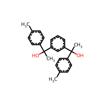 Cc1ccc(C(C)(O)c2cccc(C(C)(O)c3ccc(C)cc3)c2)cc1